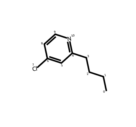 CCCCc1cc(Cl)ccn1